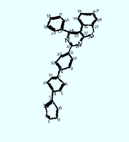 c1ccc(-c2ccc(-c3ccc(-c4nc(-c5ccccc5)c5c(n4)sc4ccccc45)cc3)cc2)cc1